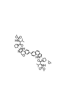 COC[C@H]1C[C@@H](c2cc3ccc4cc(-c5ccc6c(c5)OCc5nc([C@@H]7CCCN7C(=O)C(NC(=O)OC)C(C)C)[nH]c5-6)ccc4c3[nH]2)N(C(=O)[C@@H](NC(=O)OC)C(C)C)C1